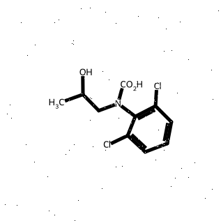 CC(O)CN(C(=O)O)c1c(Cl)cccc1Cl